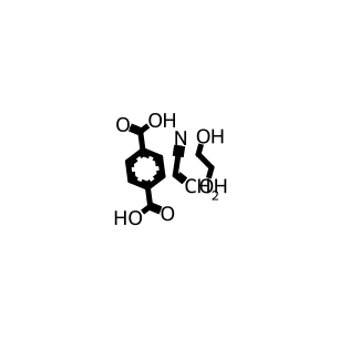 C=CC#N.O=C(O)c1ccc(C(=O)O)cc1.OCCO